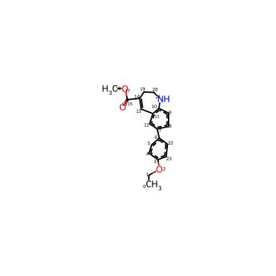 CCOc1ccc(-c2ccc3c(c2)C=C(C(=O)OC)CCN3)cc1